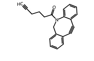 C#CCCCC(=O)N1Cc2ccccc2C#Cc2ccccc21